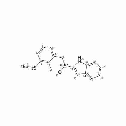 Cc1c(SC(C)(C)C)ccnc1C[S+]([O-])c1nc2ccccc2[nH]1